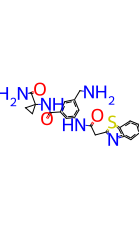 NCc1cc(NC(=O)Cc2nc3ccccc3s2)cc(C(=O)NC2(C(N)=O)CC2)c1